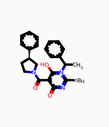 CCCCc1nc(=O)c(C(=O)N2CC[C@@H](c3ccccc3)C2)c(O)n1C(C)c1ccccc1